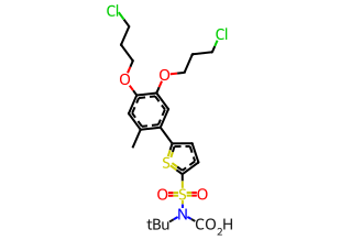 Cc1cc(OCCCCl)c(OCCCCl)cc1-c1ccc(S(=O)(=O)N(C(=O)O)C(C)(C)C)s1